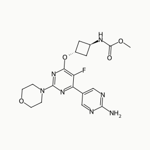 COC(=O)N[C@H]1C[C@H](Oc2nc(N3CCOCC3)nc(-c3cnc(N)nc3)c2F)C1